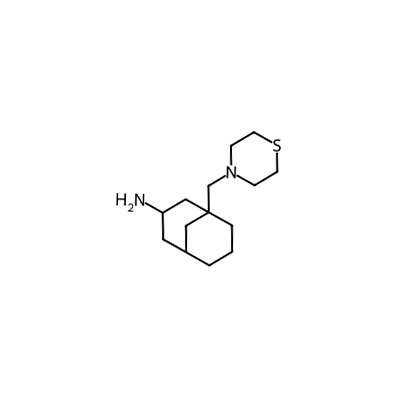 NC1CC2CCCC(CN3CCSCC3)(C1)C2